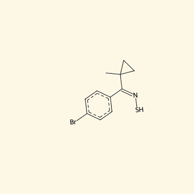 CC1(/C(=N/S)c2ccc(Br)cc2)CC1